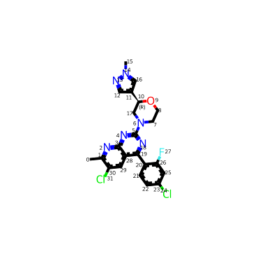 Cc1nc2nc(N3CCO[C@H](c4cnn(C)c4)C3)nc(-c3ccc(Cl)cc3F)c2cc1Cl